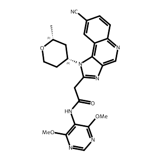 COc1ncnc(OC)c1NC(=O)Cc1nc2cnc3ccc(C#N)cc3c2n1[C@@H]1CCO[C@H](C)C1